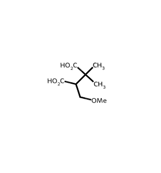 COCC(C(=O)O)C(C)(C)C(=O)O